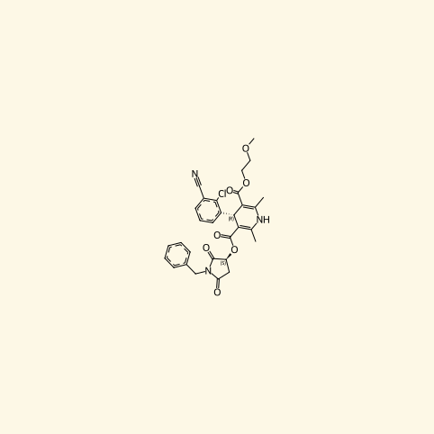 COCCOC(=O)C1=C(C)NC(C)=C(C(=O)O[C@H]2CC(=O)N(Cc3ccccc3)C2=O)[C@@H]1c1cccc(C#N)c1Cl